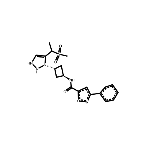 CC(C1=CNNN1[C@H]1C[C@H](NC(=O)c2cc(-c3ccccc3)no2)C1)S(C)(=O)=O